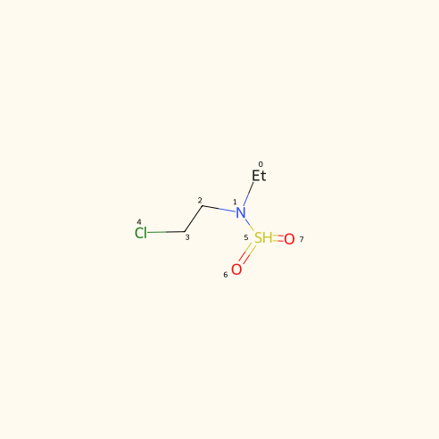 CCN(CCCl)[SH](=O)=O